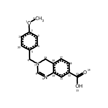 COc1ccc(CN2C=Nc3cc(C(=O)O)ccc3C2)cc1